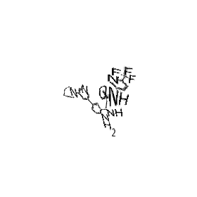 N=C(C(=O)Nc1ccc(C(F)(F)F)nc1)c1cc(-c2cncc(N3CCCCC3)c2)ccc1N